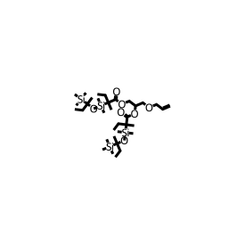 C=CCOCC(COC(=O)C(C)(CC)[Si](C)(C)OC(C)(CC)[Si](C)(C)C)OC(=O)C(C)(CC)[Si](C)(C)OC(C)(CC)[Si](C)(C)C